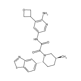 C[C@H]1CC[C@H](c2ccc3scnc3c2)N(C(=O)C(=O)Nc2cnc(N)c(C3COC3)c2)C1